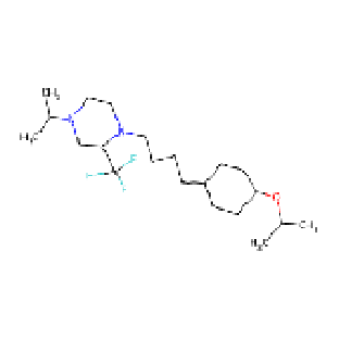 CC(C)OC1CCC(CCCCN2CCN(C(C)C)CC2C(F)(F)F)CC1